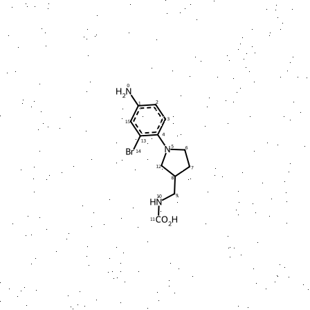 Nc1ccc(N2CCC(CNC(=O)O)C2)c(Br)c1